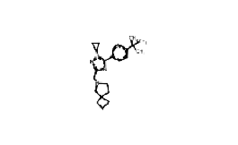 CC(C)(C)c1ccc(-c2nc(CN3CCC4(CCC4)C3)nn2C2CC2)cc1